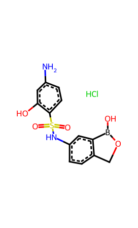 Cl.Nc1ccc(S(=O)(=O)Nc2ccc3c(c2)B(O)OC3)c(O)c1